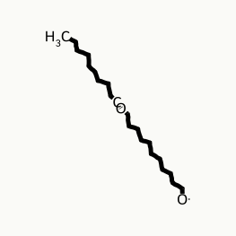 CCCCCCCCCCOCCCCCCCCCCC[O]